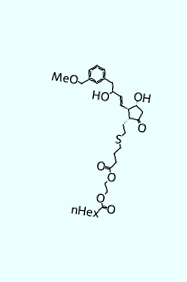 CCCCCCC(=O)OCCOC(=O)CCCSCC[C@H]1C(=O)C[C@@H](O)[C@@H]1/C=C/[C@@H](O)Cc1cccc(COC)c1